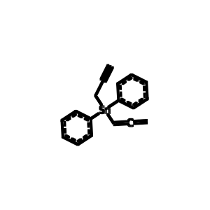 C#C[CH2][Sn]([CH]=C=C)([c]1ccccc1)[c]1ccccc1